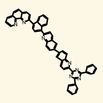 c1ccc(-c2nc(-c3ccccc3)nc(-c3ccc4cc(-c5ccc6nc(-c7ccc(-c8ccc9ccc%10cccnc%10c9n8)c8ccccc78)ccc6c5)ccc4n3)n2)cc1